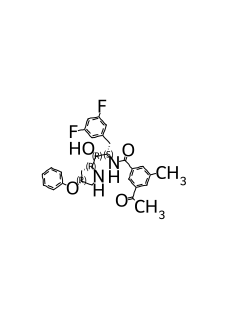 CC(=O)c1cc(C)cc(C(=O)N[C@@H](Cc2cc(F)cc(F)c2)[C@H](O)[C@H]2C[C@@H](Oc3ccccc3)CN2)c1